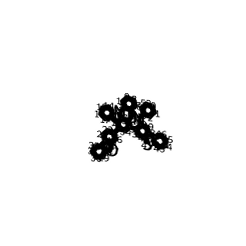 c1ccc(N2B3c4ccccc4-n4c5ccccc5c5c(-c6ccc7c(c6)oc6ccccc67)cc(c3c54)-c3cc4sc5ccccc5c4cc32)cc1